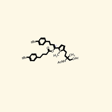 CC(=O)N[C@](C)(CCc1ccc(/C(=C/CCc2ccc(C(C)(C)C)cc2)OC(=O)CCCc2ccc(C(C)(C)C)cc2)n1C)COC(C)=O